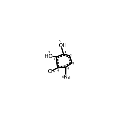 Oc1cc[c]([Na])c(Cl)c1O